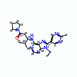 CCn1c(-c2cnc(C)nc2)nc2c(NC(CC(=O)N3CCCC3)C(C)C)ncnc21